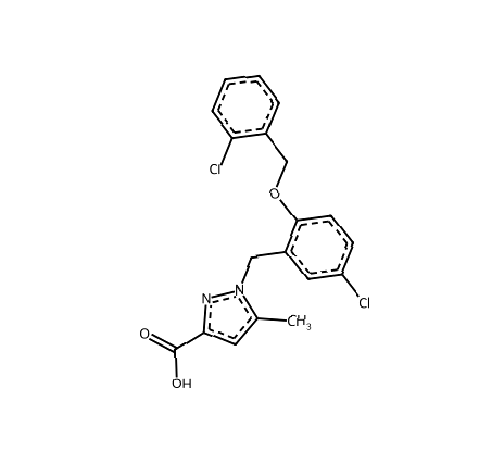 Cc1cc(C(=O)O)nn1Cc1cc(Cl)ccc1OCc1ccccc1Cl